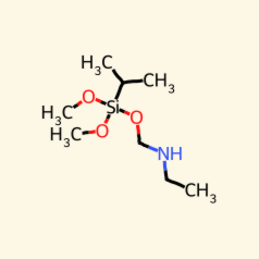 CCNCO[Si](OC)(OC)C(C)C